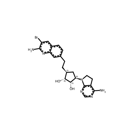 Nc1nc2cc(CC[C@H]3C[C@@H](N4CCc5c(N)ncnc54)[C@H](O)[C@@H]3O)ccc2cc1Br